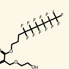 C=C(COCCO)C(=O)OCCCC(F)(F)C(F)(F)C(F)(F)C(F)(F)C(F)(F)C(F)(F)I